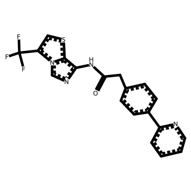 O=C(Cc1ccc(-c2ccccn2)cc1)Nc1ncn2c(C(F)(F)F)csc12